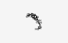 C[C@]12CC[C@H](NC(=O)NCCN3CC[C@H](O)C3)C[C@H]1CC[C@H]1C3=CC[C@H](C4=CC(=O)OC4)[C@@]3(C)CC[C@@H]12